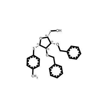 Cc1ccc(S[C@@H]2O[C@H](CO)[C@H](OCc3ccccc3)[C@H]2OCc2ccccc2)cc1